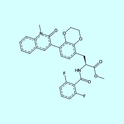 COC(=O)[C@H](Cc1ccc(-c2cc3ccccc3n(C)c2=O)c2c1OCCO2)NC(=O)c1c(F)cccc1F